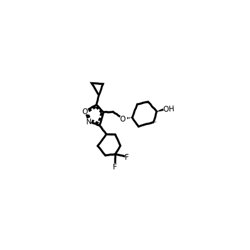 O[C@H]1[CH]C[C@H](OCc2c(C3CCC(F)(F)CC3)noc2C2CC2)CC1